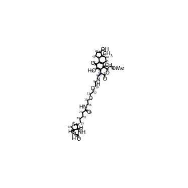 COC[C@H]1OC(=O)/C(=C\NCCOCCOCCNC(=O)CCCC[C@H]2SC[C@H]3NC(=O)N[C@H]32)C2=C(O)C(=O)C3=C([C]C[C@@]4(C)C3CC[C@@H]4O)[C@]21C